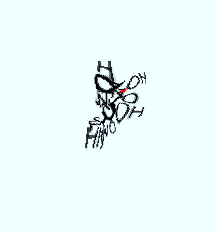 CN/N=C(\SF)c1cn2c(c(O)c1=O)C(=O)N(C)C1(CC[C@@H]3C[C@@]31CO)N2C